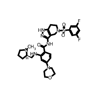 CN1CCC[C@@H]1CNc1cc(N2CCOCC2)ccc1C(=O)Nc1n[nH]c2c1CN(S(=O)(=O)c1cc(F)cc(F)c1)CC2